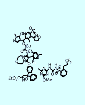 CCOC(=O)C1=NOC(c2ccccc2)(c2ccccc2)C1.CCc1cc(C)cc(CC)c1-c1c(OC(=O)C(C)(C)C)n2n(c1=O)CCOCC2.COc1nc(C)nc(NC(=O)NS(=O)(=O)c2ccccc2CCC(F)(F)F)n1.Cc1c(C(=O)c2cnn(C)c2O)ccc(S(C)(=O)=O)c1C1=NOCC1